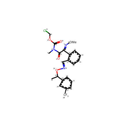 CO/N=C(/C(=O)N(C)C(=O)OCCl)c1ccccc1/C=N/OC(C)c1cccc(C(F)(F)F)c1